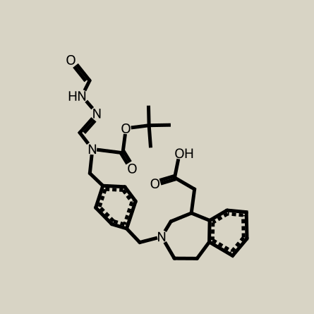 CC(C)(C)OC(=O)N(C=NNC=O)Cc1ccc(CN2CCc3ccccc3C(CC(=O)O)C2)cc1